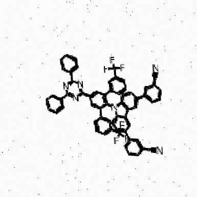 N#Cc1cccc(-c2ccc3c(c2)c2cc(-c4cccc(C#N)c4)ccc2n3-c2c(-c3cccc(C(F)(F)F)c3)cc(-c3nc(-c4ccccc4)nc(-c4ccccc4)n3)cc2-c2cccc(C(F)(F)F)c2)c1